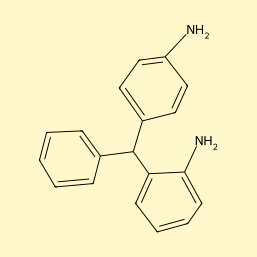 Nc1ccc(C(c2ccccc2)c2ccccc2N)cc1